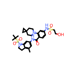 Cc1cc(NC(=O)c2ccc(NS(=O)(=O)CCO)cc2N2CCC3(CC2)CC3)cc2c1CCN2S(=O)(=O)C(C)(C)C